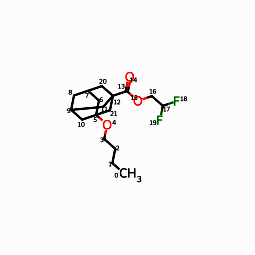 CCCCOC12CC3CC(C1)CC(C(=O)OCC(F)F)(C3)C2